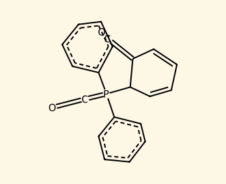 O=C=C1C=CC=CC1P(=C=O)(c1ccccc1)c1ccccc1